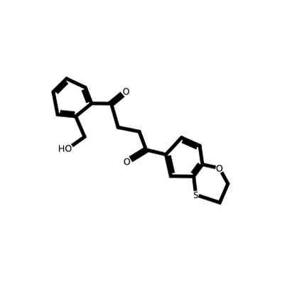 O=C(CCC(=O)c1ccccc1CO)c1ccc2c(c1)SCCO2